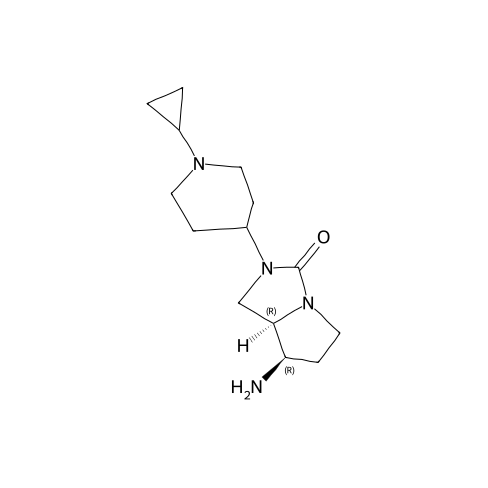 N[C@@H]1CCN2C(=O)N(C3CCN(C4CC4)CC3)C[C@H]12